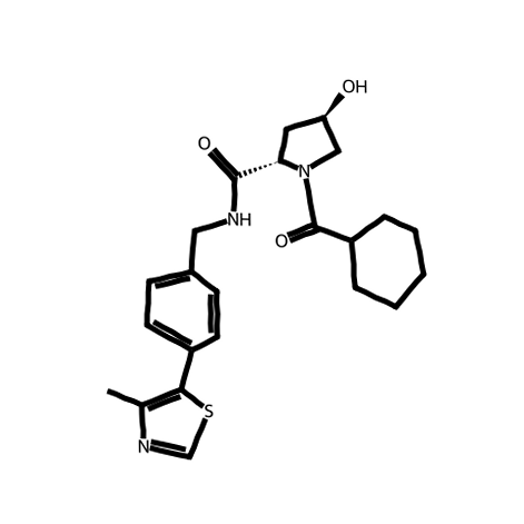 Cc1ncsc1-c1ccc(CNC(=O)[C@@H]2C[C@@H](O)CN2C(=O)C2CCCCC2)cc1